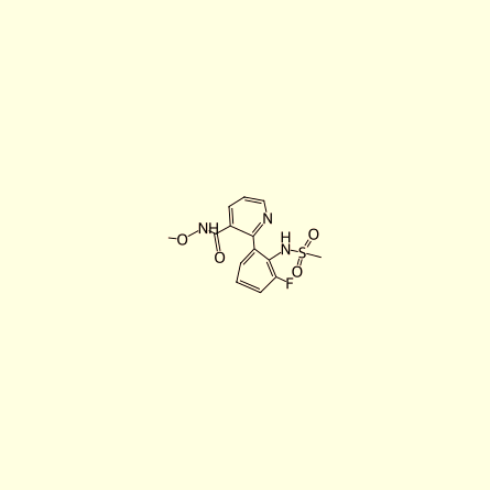 CONC(=O)c1cccnc1-c1cccc(F)c1NS(C)(=O)=O